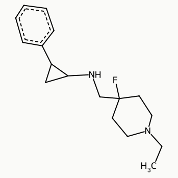 CCN1CCC(F)(CNC2CC2c2ccccc2)CC1